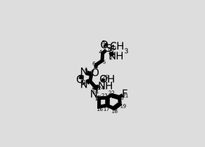 C[S@](=N)(=O)CCCOc1nonc1C(=N[C@H]1Cc2ccc(F)cc21)NO